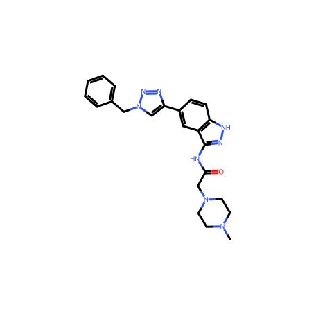 CN1CCN(CC(=O)Nc2n[nH]c3ccc(-c4cn(Cc5ccccc5)nn4)cc23)CC1